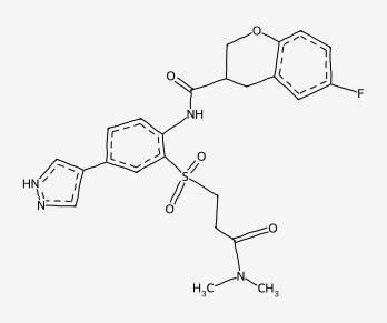 CN(C)C(=O)CCS(=O)(=O)c1cc(-c2cn[nH]c2)ccc1NC(=O)C1COc2ccc(F)cc2C1